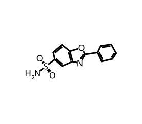 NS(=O)(=O)c1ccc2oc(-c3ccccc3)nc2c1